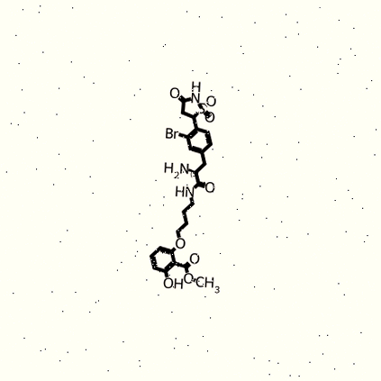 COC(=O)c1c(O)cccc1OCCCCNC(=O)[C@@H](N)Cc1ccc(C2CC(=O)NS2(=O)=O)c(Br)c1